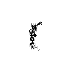 COCCNc1cnc(-c2nc(C(C)(c3ccc(-c4cnc(N)nc4)cc3)C3CCC3)no2)cn1